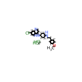 COc1ccc(CCN[C@H]2CC[C@H](Nc3ccnc4cc(Cl)ccc34)CC2)cc1.Cl.Cl